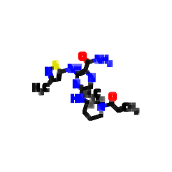 C=CC(=O)N1CCC[C@@H](Nc2cnc(C(N)=O)c(Nc3cc(C)ns3)n2)[C@H]1C